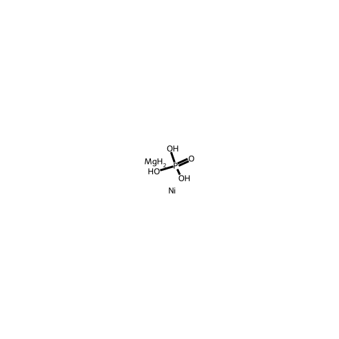 O=P(O)(O)O.[MgH2].[Ni]